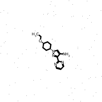 CCO[C@H]1CC[C@H](n2cc(N)c(-c3ncccn3)n2)CC1